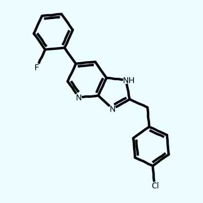 Fc1ccccc1-c1cnc2nc(Cc3ccc(Cl)cc3)[nH]c2c1